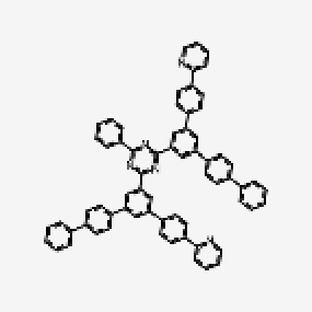 c1ccc(-c2ccc(-c3cc(-c4ccc(-c5ccccn5)cc4)cc(-c4nc(-c5ccccc5)nc(-c5cc(-c6ccc(-c7ccccc7)cc6)cc(-c6ccc(-c7ccccn7)cc6)c5)n4)c3)cc2)cc1